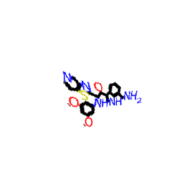 COc1cc(NC(C(=O)c2c[nH]c3c(CN)cccc23)c2nc3cnccc3s2)cc(OC)c1